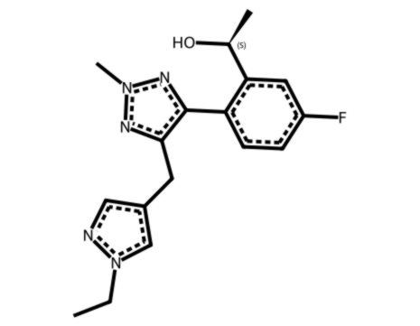 CCn1cc(Cc2nn(C)nc2-c2ccc(F)cc2[C@H](C)O)cn1